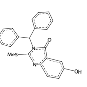 CSc1nc2ccc(O)cc2c(=O)n1C(c1ccccc1)c1ccccc1